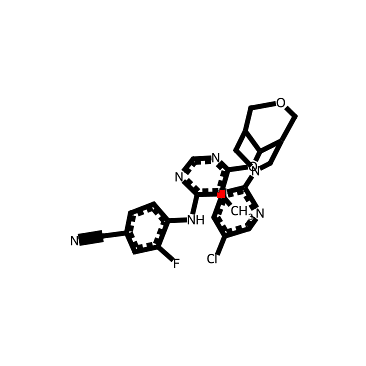 Cc1c(Nc2ccc(C#N)cc2F)ncnc1OC1C2COCC1CN(c1ncc(Cl)cn1)C2